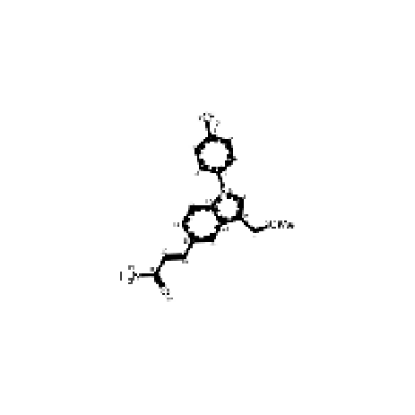 COCc1cn(-c2ccc(C(F)(F)F)cc2)c2ccc(C=CC(N)=O)cc12